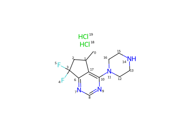 CC1CC(F)(F)c2ncnc(N3CCNCC3)c21.Cl.Cl